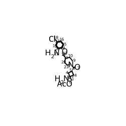 CC(=O)OC[C@]1(N)C[C@@H](C(=O)N2CCC(COc3ccc(Cl)cc3N)CC2)C1